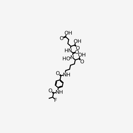 CC(F)C(=O)Nc1ccc(C(=O)NCCCCC(C(=O)O)N(O)C(=O)NC(CCC(=O)O)C(=O)O)cc1